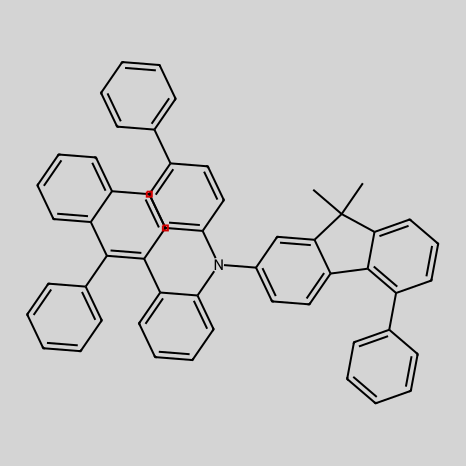 CC1(C)c2cc(N(c3ccc(-c4ccccc4)cc3)c3ccccc3-c3ccc4ccccc4c3-c3ccccc3)ccc2-c2c(-c3ccccc3)cccc21